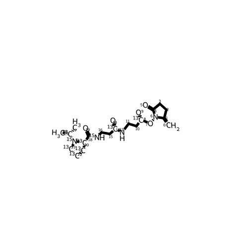 C=C1CCC(=O)N1O[13C](=O)CCN[13C](=O)CC[15NH]C(=O)[13CH]1[13CH2][13CH2][13CH2][15N]1[13CH](C)C